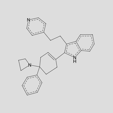 C1=C(c2[nH]c3ccccc3c2CCc2ccncc2)CCC(c2ccccc2)(N2CCC2)C1